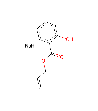 C=CCOC(=O)c1ccccc1O.[NaH]